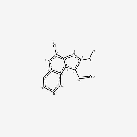 CCn1nc2c(Cl)nc3ccccc3c2c1C=O